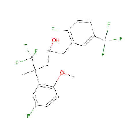 COc1ccc(F)cc1C(C)(CC(C)(O)Cc1cc(C(F)(F)F)ccc1F)C(F)(F)F